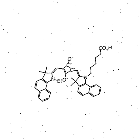 CCN1C(=Cc2c([O-])[c+](C=C3N(CCCCCC(=O)O)c4c(ccc5ccccc45)C3(C)C)[c+]2[O-])C(C)(C)c2ccc3ccccc3c21